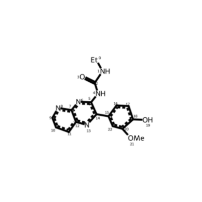 CCNC(=O)Nc1nc2ncccc2nc1-c1ccc(O)c(OC)c1